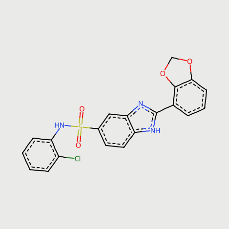 O=S(=O)(Nc1ccccc1Cl)c1ccc2[nH]c(-c3cccc4c3OCO4)nc2c1